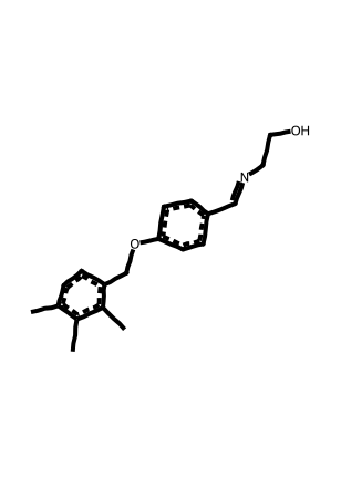 Cc1ccc(COc2ccc(/C=N/CCO)cc2)c(C)c1C